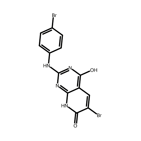 O=c1[nH]c2nc(Nc3ccc(Br)cc3)nc(O)c2cc1Br